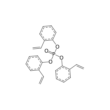 C=Cc1ccccc1OP(=O)(Oc1ccccc1C=C)Oc1ccccc1C=C